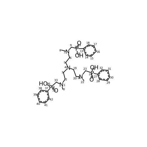 CN(CCN(CCN(C)CP(=O)(O)c1ccccc1)CCN(C)CP(=O)(O)c1ccccc1)CP(=O)(O)c1ccccc1